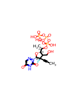 CC#CC1(F)C(CO)[C@@H]([C@H](C)OP(=O)(O)OP(=O)(O)OP(=O)(O)O)O[C@H]1n1ncc(=O)[nH]c1=O